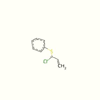 C=C[C](Cl)Sc1ccccc1